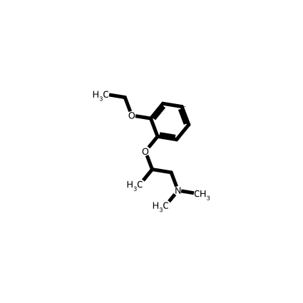 CCOc1c[c]ccc1OC(C)CN(C)C